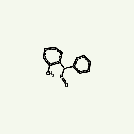 Cc1ccccc1C(P=O)c1ccccc1